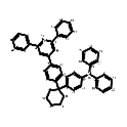 c1ccc(-c2cc(-c3ccc(C4(c5ccc(N(c6ccccc6)c6ccccc6)cc5)CCCCC4)cc3)cc(-c3ccccc3)n2)cc1